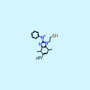 CCCC1=CC(C)c2c(nc(N(C)c3ccccc3)n2CCS)C1C